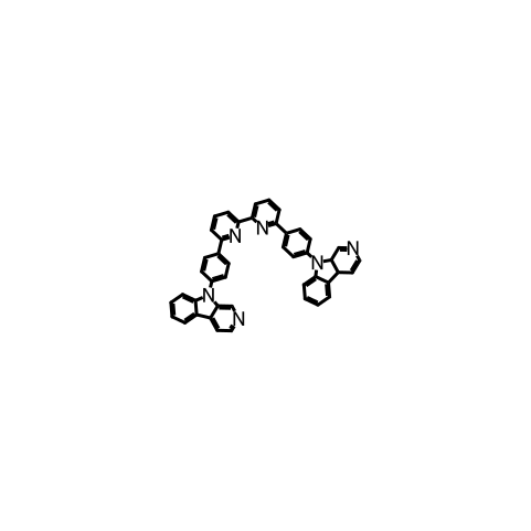 C1=CC2c3ccccc3N(c3ccc(-c4cccc(-c5cccc(-c6ccc(-n7c8ccccc8c8ccncc87)cc6)n5)n4)cc3)C2C=N1